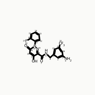 Nc1cc(CNC(=O)c2nn(-c3ccccc3F)c(=O)cc2O)cc(C(F)(F)F)c1